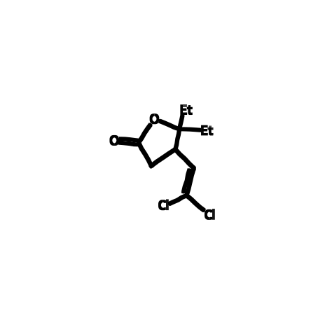 CCC1(CC)OC(=O)CC1C=C(Cl)Cl